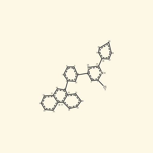 Clc1cc(-c2cccc(-c3cc4ccccc4c4ccccc34)c2)nc(-c2ccccc2)n1